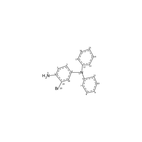 Nc1ccc(N(c2ccccc2)c2ccccc2)cc1Br